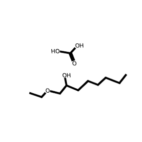 CCCCCCC(O)COCC.O=C(O)O